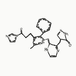 Cc1[nH]c(C=C2NC=CN=C2C2C=NNC2=O)c(-c2ccccc2)c1CCC(=O)n1ccnc1